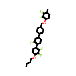 CCCCOc1ccc(-c2ccc(C3=CCC(COc4ccc(C)c(F)c4F)CC3)cc2F)c(F)c1F